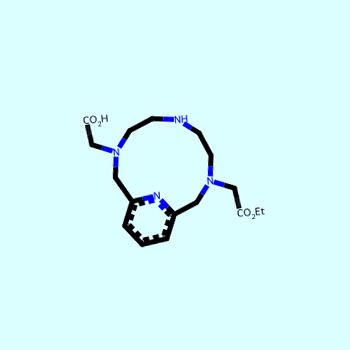 CCOC(=O)CN1CCNCCN(CC(=O)O)Cc2cccc(n2)C1